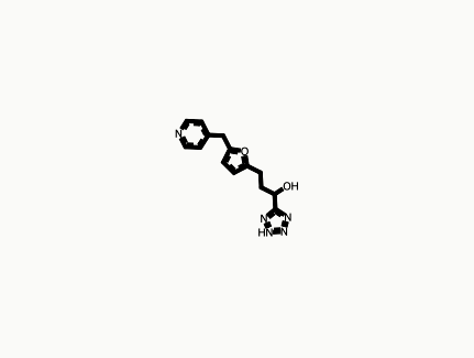 OC(CCc1ccc(Cc2ccncc2)o1)c1nn[nH]n1